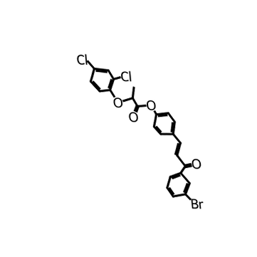 CC(Oc1ccc(Cl)cc1Cl)C(=O)Oc1ccc(C=CC(=O)c2cccc(Br)c2)cc1